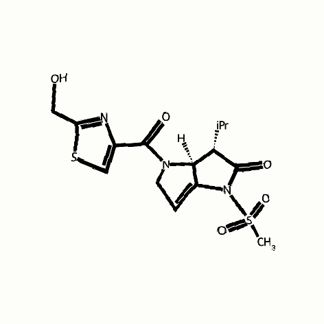 CC(C)[C@@H]1C(=O)N(S(C)(=O)=O)C2=CCN(C(=O)c3csc(CO)n3)[C@H]21